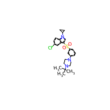 CC(C)(C)N1CCN(c2cccc(S(=O)(=O)c3cn(C4CC4)c4ccc(Cl)cc34)c2)CC1